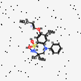 CCCCC1(CC)CN(c2ccccc2)c2cc(SC)c(O/C=C/C(=O)O)cc2S(=O)(=O)N1